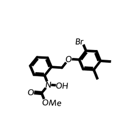 COC(=O)N(O)c1ccccc1COc1cc(C)c(C)cc1Br